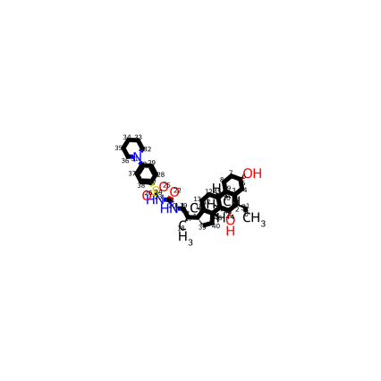 CC[C@@H]1C2C[C@H](O)CC[C@]2(C)[C@H]2CC[C@]3(C)[C@@H]([C@H](C)CNC(=O)NS(=O)(=O)c4ccc(N5CCCCC5)cc4)CC[C@H]3[C@@H]2[C@@H]1O